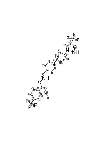 Cn1cc(CNCC2CCN(c3ncc(N4C=C(C(F)(F)F)ON4)cn3)CC2)c2ccc(C(F)(F)F)cc21